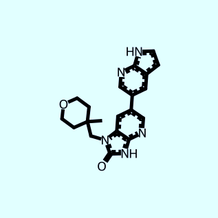 CC1(Cn2c(=O)[nH]c3ncc(-c4cnc5[nH]ccc5c4)cc32)CCOCC1